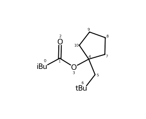 CCC(C)C(=O)OC1(CC(C)(C)C)CCCC1